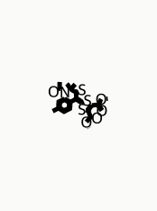 COC(=O)C1=C(C(=O)OC)SC(=C2C(=S)C(C)(C)N(C(C)=O)c3cc(C)ccc32)S1